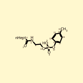 CCCCCCCC(=O)NCCOP(=O)(O)Oc1ccc(C)cc1